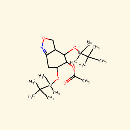 CC(=O)OC1C(O[Si](C)(C)C(C)(C)C)CC2=NOCC2C1O[Si](C)(C)C(C)(C)C